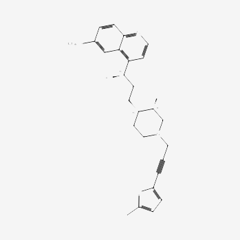 COc1ccc2nccc([C@H](O)CC[C@@H]3CCN(CC#Cc4ccc(C)s4)C[C@@H]3C(=O)O)c2c1